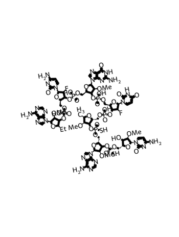 CC[C@H]1O[C@@H](n2cnc3c(N)ncnc32)[C@@H](OC)C1OP(=O)(O)OC[C@H]1O[C@@H](n2ccc(N)nc2=O)[C@@H](F)C1OP(=O)(O)OC[C@H]1O[C@@H](n2cnc3c(=O)[nH]c(N)nc32)[C@@H](OC)C1OP(=O)(O)OC[C@H]1O[C@@H](n2ccc(=O)[nH]c2=O)[C@@H](F)C1OP(=O)(O)OC[C@H]1O[C@@H](C)[C@@H](OC)C1OP(=O)(S)OC[C@H]1O[C@@H](n2cnc3c(N)ncnc32)[C@@H](OC)C1OP(=O)(S)OC[C@H]1O[C@@H](n2ccc(N)nc2=O)[C@@H](OC)C1O